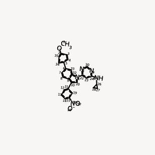 COc1ccc(-c2ccc3c(-c4cccc([N+](=O)[O-])c4)cn(-c4cc(NC5CC5)ncn4)c3c2)cc1